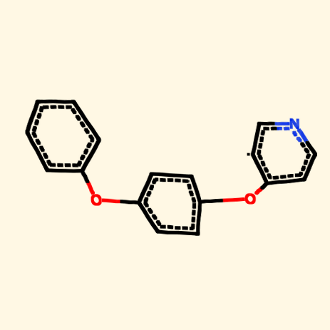 [c]1cnccc1Oc1ccc(Oc2ccccc2)cc1